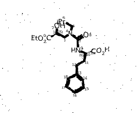 CCOC(=O)[C@@H](O)CN(CC(C)C)C(=O)N[C@@H](CCc1ccccc1)C(=O)O